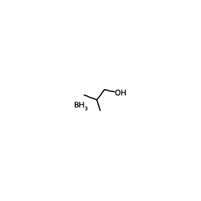 B.CC(C)CO